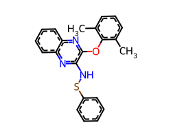 Cc1cccc(C)c1Oc1nc2ccccc2nc1NSc1ccccc1